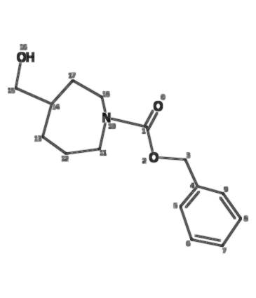 O=C(OCc1ccccc1)N1CCCC(CO)CC1